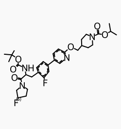 CC(C)OC(=O)N1CCC(COc2ccc(-c3ccc(CC(NC(=O)OC(C)(C)C)C(=O)N4CC[C@H](F)C4)c(F)c3)cn2)CC1